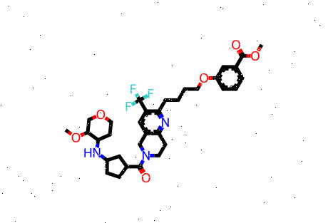 COC(=O)c1cccc(OCCCCc2nc3c(cc2C(F)(F)F)CN(C(=O)C2CCC(NC4CCOCC4OC)C2)CC3)c1